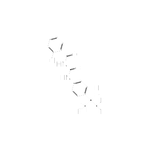 O=C(NC(=O)c1ccccc1Cl)Nc1ccc(C(O)(C(F)(F)F)C(F)(F)F)cc1